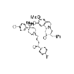 COc1cc2c(cc1OC)C1CC(=O)C(CC(C)C)CN1CC2.O=C(CCCN1CCC(O)(c2ccc(Cl)cc2)CC1)c1ccc(F)cc1